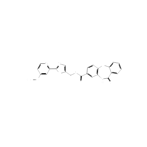 COc1ccnc(-c2ncc(CNC(=O)c3ccc4c(c3)NC(=O)c3ccccc3S4)s2)c1